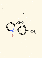 Cc1ccc([N+]2(Br)C=CC=C2C=O)cc1